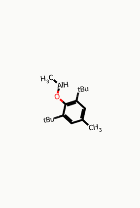 [CH3][AlH][O]c1c(C(C)(C)C)cc(C)cc1C(C)(C)C